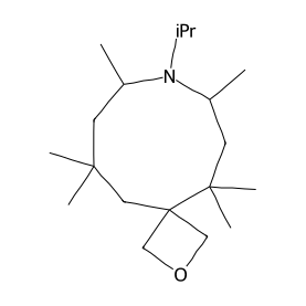 CC(C)N1C(C)CC(C)(C)CC2(COC2)C(C)(C)CC1C